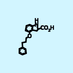 O=C(O)C1Cc2c(cccc2OCCCc2ccccc2)N1